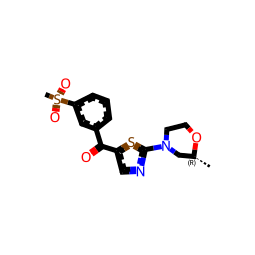 C[C@@H]1CN(c2ncc(C(=O)c3cccc(S(C)(=O)=O)c3)s2)CCO1